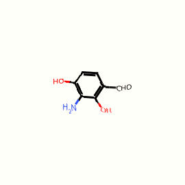 Nc1c(O)ccc(C=O)c1O